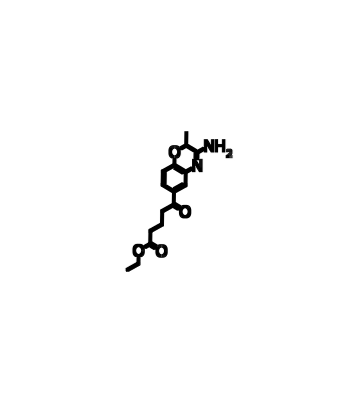 CCOC(=O)CCCC(=O)c1ccc2c(c1)N=C(N)C(C)O2